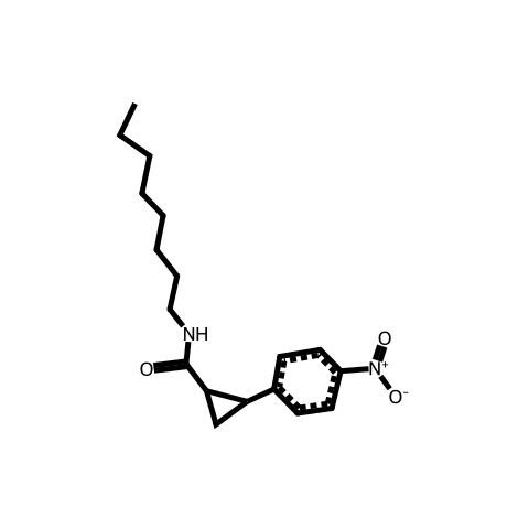 CCCCCCCCNC(=O)C1CC1c1ccc([N+](=O)[O-])cc1